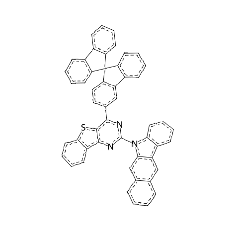 c1ccc2c(c1)-c1ccccc1C21c2ccccc2-c2cc(-c3nc(-n4c5ccccc5c5cc6ccccc6cc54)nc4c3sc3ccccc34)ccc21